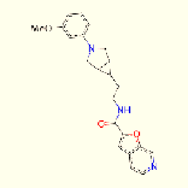 COc1cccc(N2CC3C(CCNC(=O)c4cc5ccncc5o4)C3C2)c1